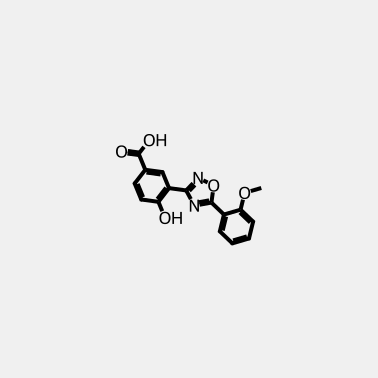 COc1ccccc1-c1nc(-c2cc(C(=O)O)ccc2O)no1